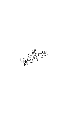 Cn1cnnc1C(CC1CCOCC1)c1cccc(N2Cc3c(cc(CNC4(C)CCC4)cc3C(F)(F)F)C2=O)c1